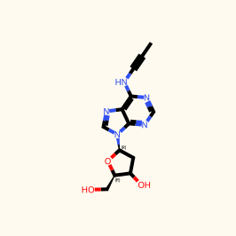 CC#CNc1ncnc2c1ncn2[C@H]1CC(O)[C@@H](CO)O1